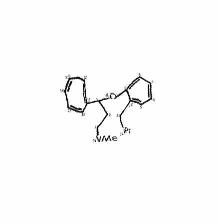 CNCCC(Oc1ccccc1CC(C)C)c1ccccc1